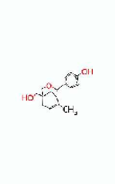 CC1=CCC2(CO)COC(c3ccc(O)cc3)C1C2